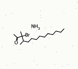 CCCCCCCCCCC(C)C(C)(Br)C(C)=O.N